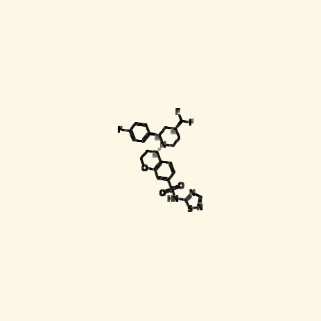 O=S(=O)(Nc1ncns1)c1ccc2c(c1)OCC[C@@H]2N1CC[C@H](C(F)F)C[C@@H]1c1ccc(F)cc1